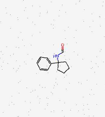 O=CNC1(c2ccccc2)CCCC1